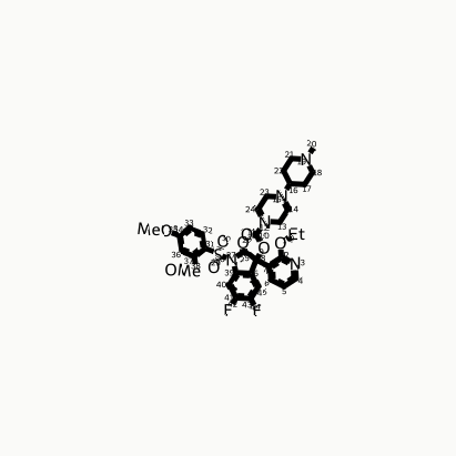 CCOc1ncccc1C1(OC(=O)N2CCN(C3CCN(C)CC3)CC2)C(=O)N(S(=O)(=O)c2ccc(OC)cc2OC)c2cc(F)c(F)cc21